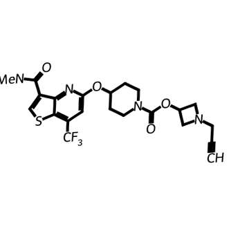 C#CCN1CC(OC(=O)N2CCC(Oc3cc(C(F)(F)F)c4scc(C(=O)NC)c4n3)CC2)C1